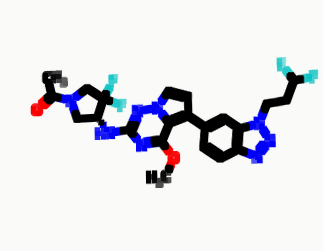 COc1nc(N[C@@H]2CN(C(C)=O)CC2(F)F)nn2ccc(-c3ccc4nnn(CCC(F)F)c4c3)c12